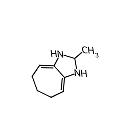 CC1NC2=CCCCC=C2N1